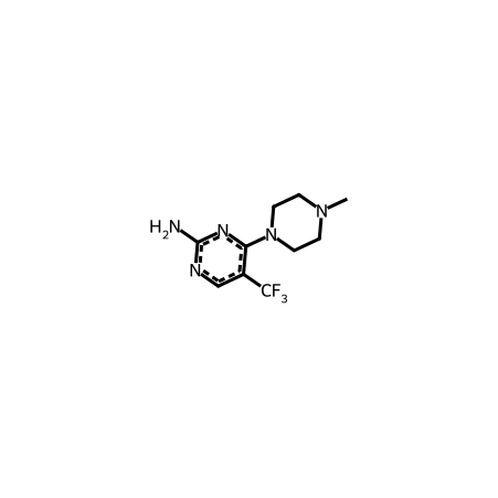 CN1CCN(c2nc(N)ncc2C(F)(F)F)CC1